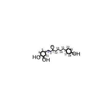 O=C(/C=C/c1ccc(O)c(O)c1)CCCCc1ccc(O)cc1